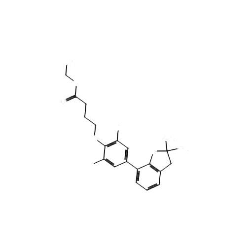 CCOC(=O)CCCOc1c(F)cc(-c2cccc3c2OC(C)(C)C3)cc1F